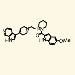 COc1ccc2[nH]c(C(=O)N3CCCC[C@H]3CCN3CC=C(c4c[nH]c5cnccc45)CC3)cc2c1